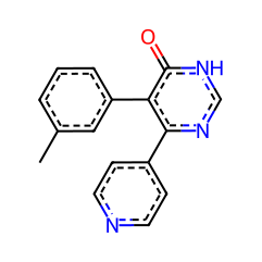 Cc1cccc(-c2c(-c3ccncc3)nc[nH]c2=O)c1